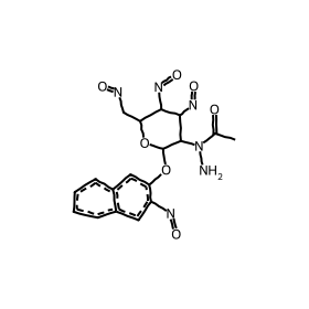 CC(=O)N(N)C1C(Oc2cc3ccccc3cc2N=O)OC(CN=O)C(N=O)C1N=O